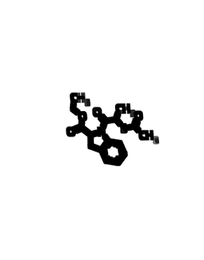 CCOC(=O)C1Cc2ccccc2N1C(=O)C(C)SC(C)=O